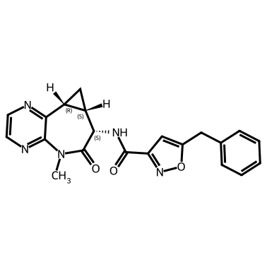 CN1C(=O)[C@@H](NC(=O)c2cc(Cc3ccccc3)on2)[C@H]2C[C@H]2c2nccnc21